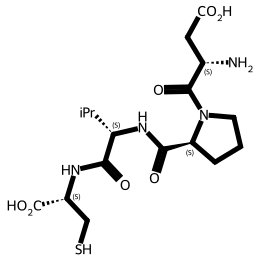 CC(C)[C@H](NC(=O)[C@@H]1CCCN1C(=O)[C@@H](N)CC(=O)O)C(=O)N[C@H](CS)C(=O)O